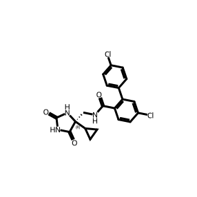 O=C1NC(=O)[C@](CNC(=O)c2ccc(Cl)cc2-c2ccc(Cl)cc2)(C2CC2)N1